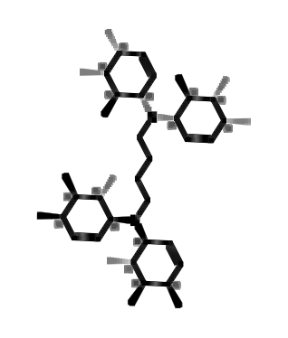 C[C@H]1[C@H](C)[C@@H](N(CCCCN([C@H]2C=C[C@@H](C)[C@@H](C)[C@@H]2C)[C@H]2C=C[C@@H](C)[C@@H](C)[C@@H]2C)[C@H]2C=C[C@@H](C)[C@@H](C)[C@@H]2C)C=C[C@H]1C